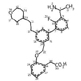 CC(N)c1cccc(-c2cc(CCC3CCOCC3)cc(COc3ccccc3CC(=O)O)c2)c1F